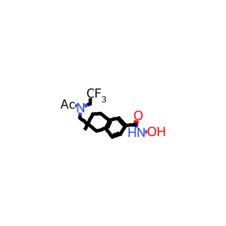 CC(=O)N(CC(F)(F)F)CC1(C)CCc2cc(C(=O)NO)ccc2C1